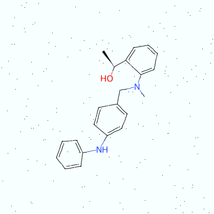 C[C@H](O)c1ccccc1N(C)Cc1ccc(Nc2ccccc2)cc1